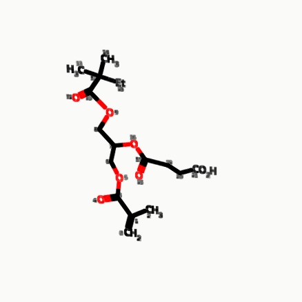 C=C(C)C(=O)OCC(COC(=O)C(C)(C)CC)OC(=O)CCC(=O)O